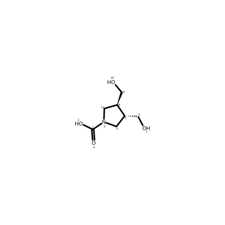 O=C(O)N1C[C@@H](CO)[C@H](CO)C1